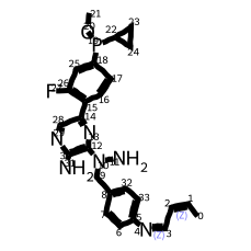 C/C=C\C=N/c1ccc(CN(N)c2nc(-c3ccc(P(OC)C4CC4)cc3F)cnc2N)cc1